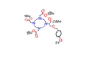 CCOc1ccc(CCOCC(C(=O)OC)N2CCN(CC(=O)OC(C)(C)C)CCN(CC(=O)OC(C)(C)C)CCN(CC(=O)OC(C)(C)C)CC2)cc1